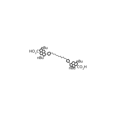 CCCCc1cc(C(=O)O)c2ccc3c(CCCC)cc(-c4ccc(CCCCCCCCCCCc5ccc(-c6cc(CCCC)c7ccc8c(C(=O)O)cc(CCCC)c9ccc6c7c98)cc5)cc4)c4ccc1c2c34